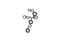 O=COCC(c1ccc(OCc2ccccc2)cc1)c1coc2ccc(O)cc12